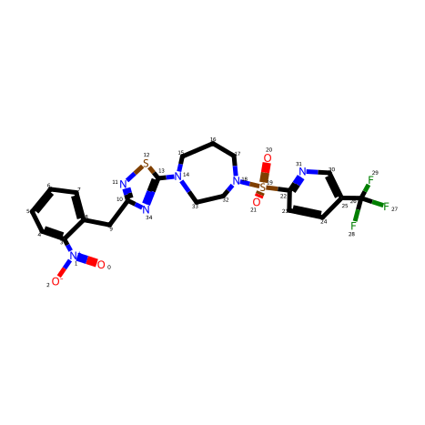 O=[N+]([O-])c1ccccc1Cc1nsc(N2CCCN(S(=O)(=O)c3ccc(C(F)(F)F)cn3)CC2)n1